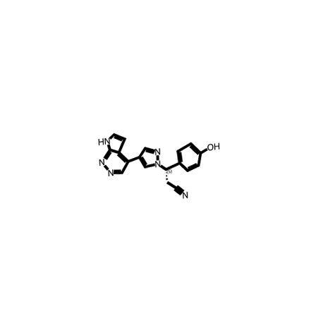 N#CC[C@@H](c1ccc(O)cc1)n1cc(-c2cnnc3[nH]ccc23)cn1